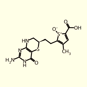 Cc1cc(C(=O)O)[s+]([O-])c1CC[C@@H]1CNc2nc(N)[nH]c(=O)c2S1